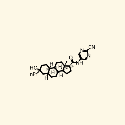 CCC[C@@]1(O)CC[C@H]2[C@H](CC[C@@H]3[C@@H]2CC[C@]2(C)[C@@H](C(=O)Nc4cnc(C#N)nc4)CC[C@@H]32)C1